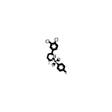 C[C@@H]1CCC(c2ccc(Cl)c(Cl)c2)=NN1S(=O)(=O)c1ccc(I)cc1